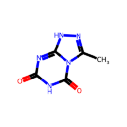 Cc1n[nH]c2nc(=O)[nH]c(=O)n12